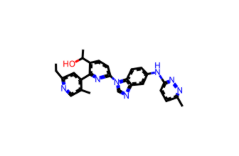 CCc1cc(-c2nc(-n3cnc4cc(Nc5ccc(C)nn5)ccc43)ccc2C(C)O)c(C)cn1